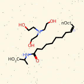 CCCCCCCC/C=C\CCCCCCCC(=O)NC(C)C(=O)O.OCCN(CCO)CCO